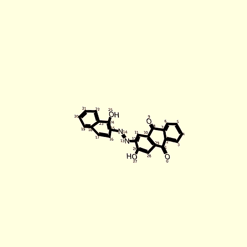 O=C1c2ccccc2C(=O)c2cc(N=Nc3ccc4ccccc4c3O)c(O)cc21